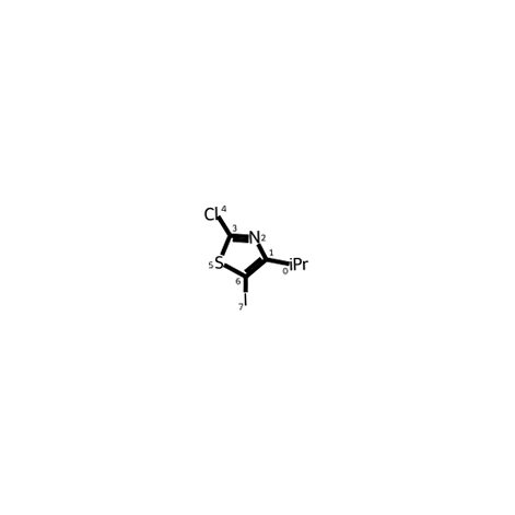 CC(C)c1nc(Cl)sc1I